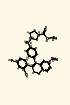 COc1ccc2c(c1)C(c1ccc(N[C@H]3CCN(C(=O)OC(C)(C)C)C3)cc1)=C(c1ccc(F)cc1Cl)CC2